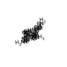 CCO.NC(=O)c1ccc[n+]([C@@H]2O[C@H](COP(=O)([O-])OP(=O)(O)OC[C@H]3O[C@@H](n4cnc5c(N)ncnc54)[C@H](OP(=O)(O)O)[C@@H]3O)[C@@H](O)[C@H]2O)c1